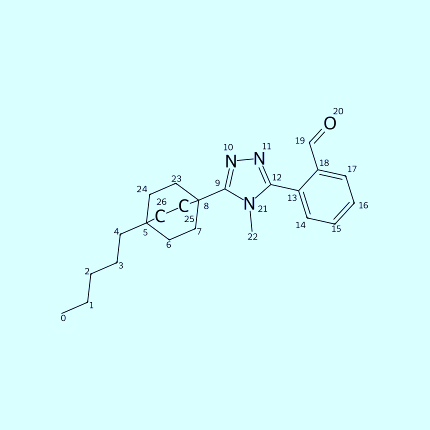 CCCCCC12CCC(c3nnc(-c4ccccc4C=O)n3C)(CC1)CC2